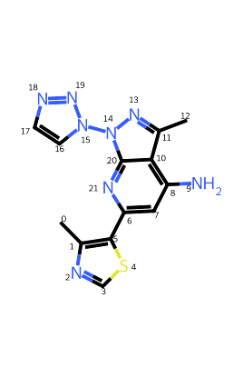 Cc1ncsc1-c1cc(N)c2c(C)nn(-n3ccnn3)c2n1